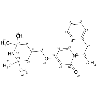 CC(Cc1ccccc1)n1ccc(OCC2CC(C)(C)NC(C)(C)C2)cc1=O